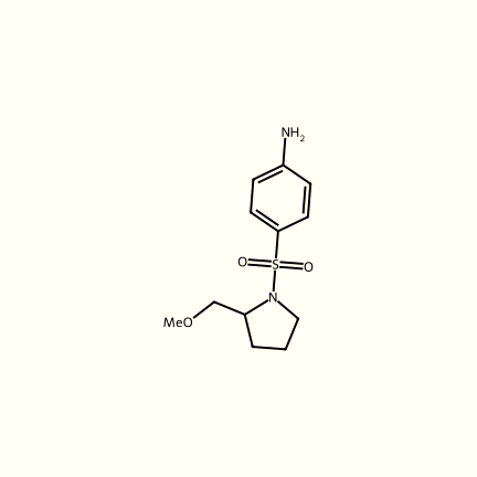 COCC1CCCN1S(=O)(=O)c1ccc(N)cc1